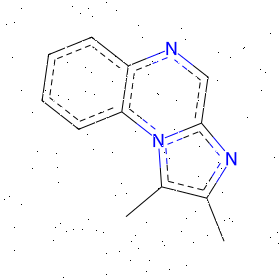 Cc1nc2cnc3ccccc3n2c1C